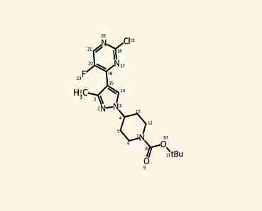 Cc1nn(C2CCN(C(=O)OC(C)(C)C)CC2)cc1-c1nc(Cl)ncc1F